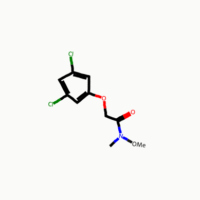 CON(C)C(=O)COc1cc(Cl)cc(Cl)c1